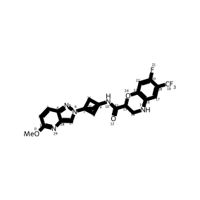 COc1ccc2nn(C34CC(NC(=O)C5CNc6cc(C(F)(F)F)c(F)cc6O5)(C3)C4)cc2n1